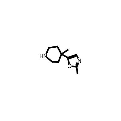 Cc1ncc(C2(C)CCNCC2)o1